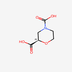 O=C(O)[C@H]1CN(C(=O)O)CCO1